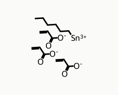 C=CC(=O)[O-].C=CC(=O)[O-].C=CC(=O)[O-].CCCCC[CH2][Sn+3]